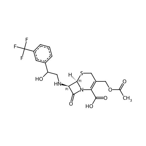 CC(=O)OCC1=C(C(=O)O)N2C(=O)[C@@H](NCC(O)c3cccc(C(F)(F)F)c3)[C@H]2SC1